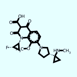 CNC1([C@@H]2CCN(c3ccc4c(c3OC)N([C@@H]3C[C@@H]3F)C(=O)C(C(=O)O)C4=O)C2)CC1